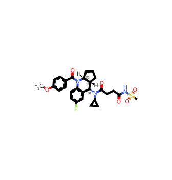 CS(=O)(=O)NC(=O)CCC(=O)N(C1CC1)[C@H]1c2cc(F)ccc2N(C(=O)c2ccc(OC(F)(F)F)cc2)[C@H]2CCC[C@@H]21